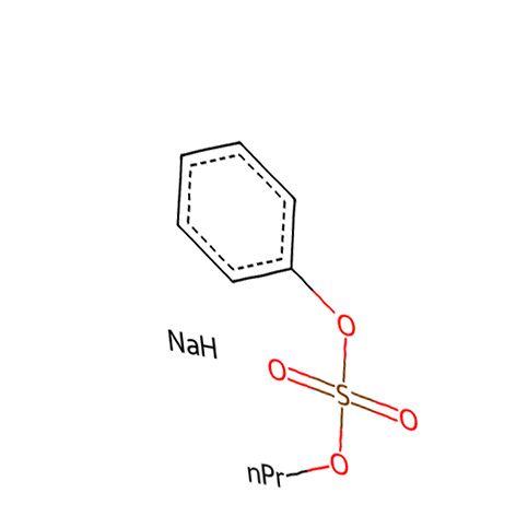 CCCOS(=O)(=O)Oc1ccccc1.[NaH]